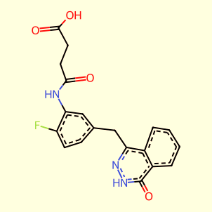 O=C(O)CCC(=O)Nc1cc(Cc2n[nH]c(=O)c3ccccc23)ccc1F